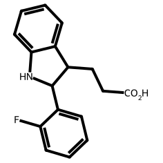 O=C(O)CCC1c2ccccc2NC1c1ccccc1F